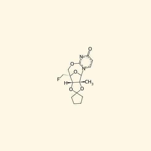 C[C@@]12OC3(CCCC3)O[C@@H]1[C@@]1(CF)COc3nc(=O)ccn3C2O1